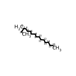 C=C(CC)CCCCCCCCCCCCCC